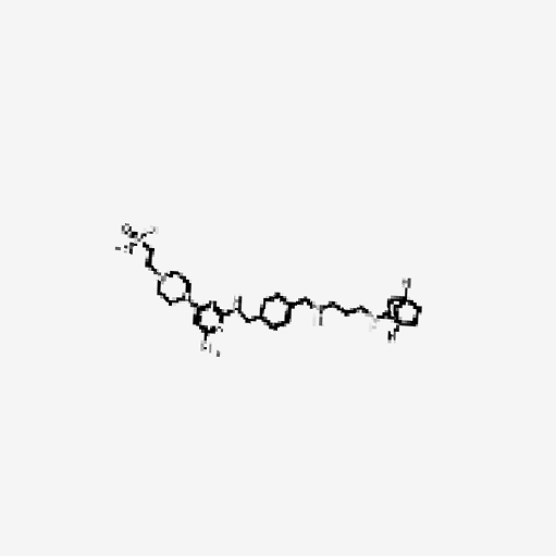 Nc1cc(N2CCN(CCP(=O)(O)O)CC2)nc(NCC2CCC(CNCCCNC3C[C@@H]4CC[C@H]3C4)CC2)n1